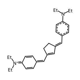 CCN(CC)c1ccc(/C=C2/C=C(C=C3C=CC(=[N+](CC)CC)C=C3)CC2)cc1